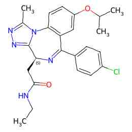 CCNC(=O)C[C@@H]1N=C(c2ccc(Cl)cc2)c2cc(OC(C)C)ccc2-n2c(C)nnc21